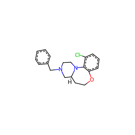 Clc1cccc2c1N1CCN(Cc3ccccc3)C[C@@H]1CCO2